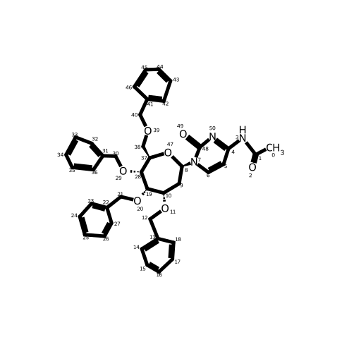 CC(=O)Nc1ccn([C@H]2C[C@H](OCc3ccccc3)[C@H](OCc3ccccc3)[C@H](OCc3ccccc3)[C@@H](COCc3ccccc3)O2)c(=O)n1